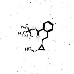 CC(C)(C)OC(=O)c1ccccc1CC[C@H]1C[C@@H]1CO